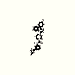 Cc1nc(-c2cccc(NC(=O)N3CCCN(c4nc(C5(c6ccccc6)CCC(=O)CC5)ns4)CC3)c2)no1